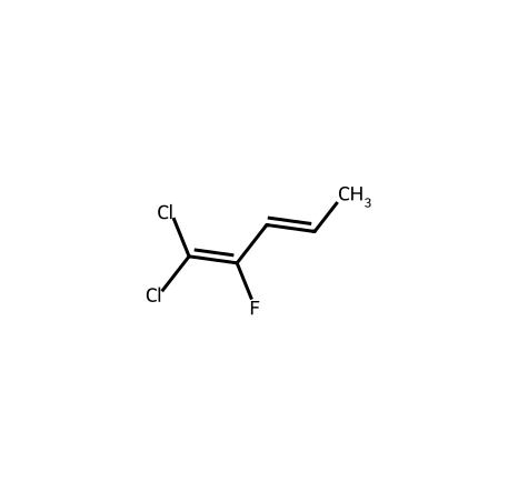 CC=CC(F)=C(Cl)Cl